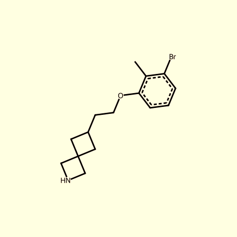 Cc1c(Br)cccc1OCCC1CC2(CNC2)C1